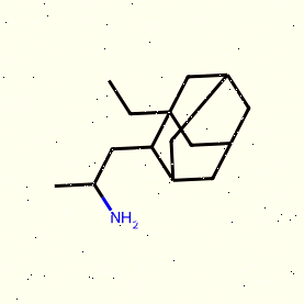 CCC12CC3CC(CC(C3)C1CC(C)N)C2